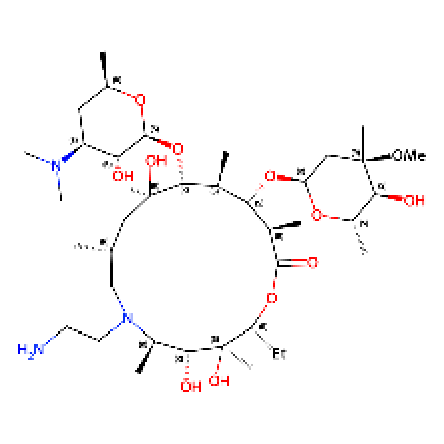 CC[C@H]1OC(=O)[C@H](C)[C@@H](O[C@H]2C[C@@](C)(OC)[C@@H](O)[C@H](C)O2)[C@H](C)[C@@H](O[C@@H]2O[C@H](C)C[C@H](N(C)C)[C@H]2O)[C@](C)(O)C[C@@H](C)CN(CCN)[C@H](C)[C@@H](O)[C@]1(C)O